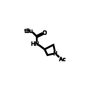 CC(=O)N1CC(NC(=O)C(C)(C)C)C1